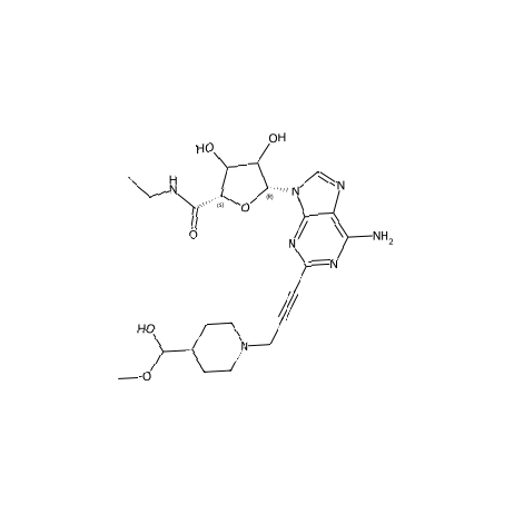 CCNC(=O)[C@H]1O[C@@H](n2cnc3c(N)nc(C#CCN4CCC(C(O)OC)CC4)nc32)C(O)C1O